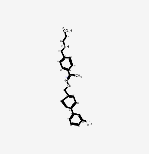 C/C(=N\OCc1ccc(-c2cccc(C(F)(F)F)c2)cc1)c1ccc(CNCCC(=O)O)cc1